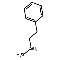 [SiH3][SiH2]CCc1ccccc1